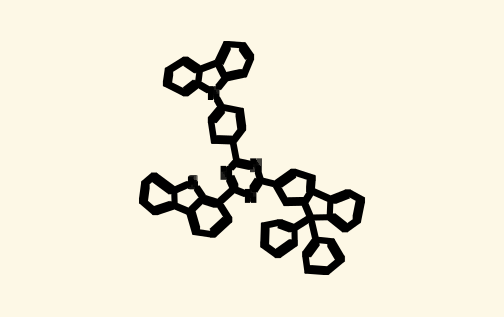 c1ccc(C2(c3ccccc3)c3ccccc3-c3ccc(-c4nc(-c5ccc(-n6c7ccccc7c7ccccc76)cc5)nc(-c5cccc6c5sc5ccccc56)n4)cc32)cc1